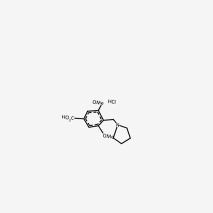 COc1cc(C(=O)O)cc(OC)c1CN1CCCC1.Cl